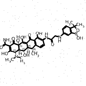 C[C@H]1c2ccc(NC(=O)CNc3ccc4c(c3)B(O)OC4(C)C)c(O)c2C(=O)C2=C(O)[C@]3(O)C(=O)C(C(N)=O)=C(O)[C@@H](N(C)C)[C@@H]3[C@@H](O)[C@@H]21